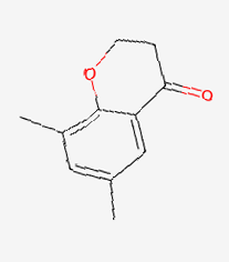 Cc1cc(C)c2c(c1)C(=O)CCO2